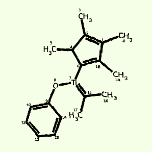 CC1=C(C)C(C)[C]([Ti]([O]c2ccccc2)=[C](C)C)=C1C